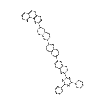 c1ccc(-c2nc(-c3ccccc3)nc(-c3ccc4cc(-c5ccc6nc(-c7ccc8cc(-c9ccc%10ccc%11cccnc%11c%10n9)ccc8c7)ccc6c5)ccc4n3)n2)cc1